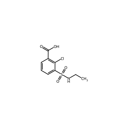 CCNS(=O)(=O)c1cccc(C(=O)O)c1Cl